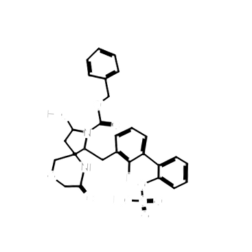 CC1CC2(COCC(=O)N2)C(Cc2cccc(-c3ccccc3OS(=O)(=O)C(F)(F)F)c2F)N1C(=O)OCc1ccccc1